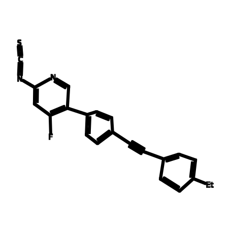 CCc1ccc(C#Cc2ccc(-c3cnc(N=C=S)cc3F)cc2)cc1